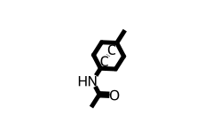 CC(=O)NC12CCC(C)(CC1)CC2